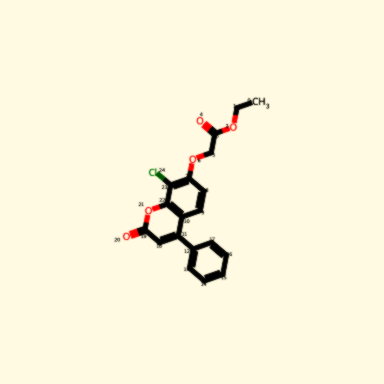 CCOC(=O)COc1ccc2c(-c3ccccc3)cc(=O)oc2c1Cl